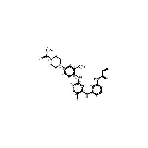 C=CC(=O)Nc1cccc(Nc2nc(Nc3ccc(N4CCN(C(=O)NC)CC4)cc3OC)ncc2C)c1